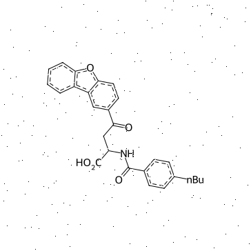 CCCCc1ccc(C(=O)NC(CC(=O)c2ccc3oc4ccccc4c3c2)C(=O)O)cc1